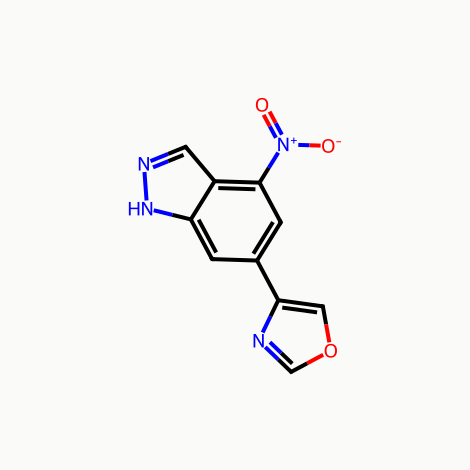 O=[N+]([O-])c1cc(-c2cocn2)cc2[nH]ncc12